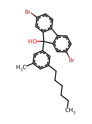 CCCCCCc1cc(C)cc(C2(O)c3cc(Br)ccc3-c3ccc(Br)cc32)c1